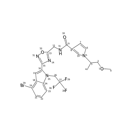 COCC(C)n1ccc(C(=O)NCc2nc(-c3cc4c(Br)cccc4n3CC(F)(F)F)no2)c1